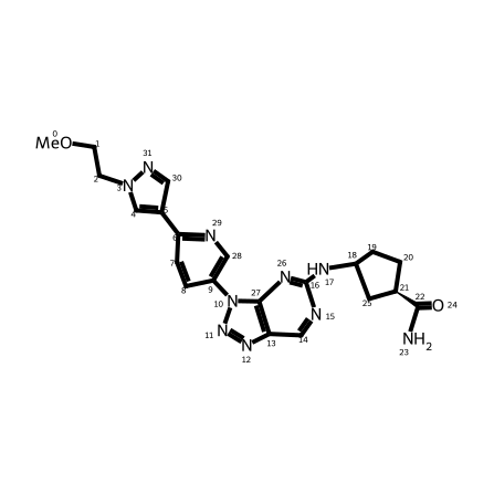 COCCn1cc(-c2ccc(-n3nnc4cnc(NC5CC[C@@H](C(N)=O)C5)nc43)cn2)cn1